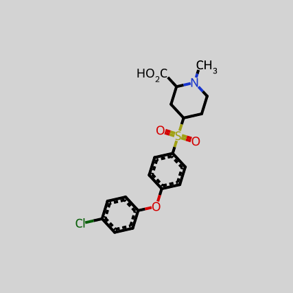 CN1CCC(S(=O)(=O)c2ccc(Oc3ccc(Cl)cc3)cc2)CC1C(=O)O